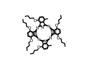 CCCCOc1ccc(C)c2c1-c1nc-2nc2[nH]c(nc3nc(nc4[nH]c(n1)c1c(OCCCC)ccc(OCCCC)c41)-c1c(OCCCC)ccc(C)c1-3)c1c(OCCCC)ccc(OCCCC)c21